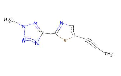 [CH2]C#Cc1cnc(-c2nnn(C)n2)s1